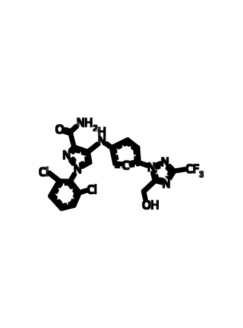 NC(=O)c1nn(-c2c(Cl)cccc2Cl)cc1Nc1ccc(-n2nc(C(F)(F)F)nc2CO)cc1